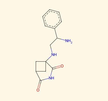 NC(CNC12CC(C1)C(=O)NC2=O)c1ccccc1